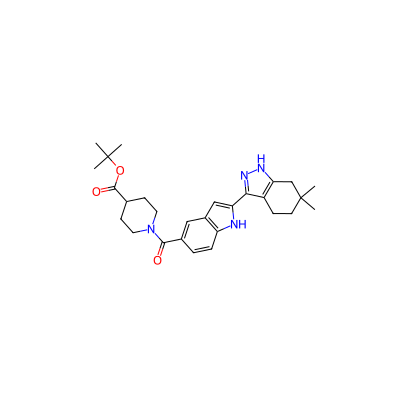 CC1(C)CCc2c(-c3cc4cc(C(=O)N5CCC(C(=O)OC(C)(C)C)CC5)ccc4[nH]3)n[nH]c2C1